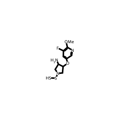 COc1ncc(OC2CN(SS)CC2N)cc1F